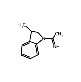 CC(=N)N1CC(C)c2ccccc21